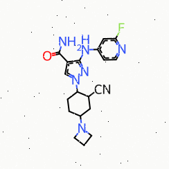 N#CC1CC(N2CCC2)CCC1n1cc(C(N)=O)c(Nc2ccnc(F)c2)n1